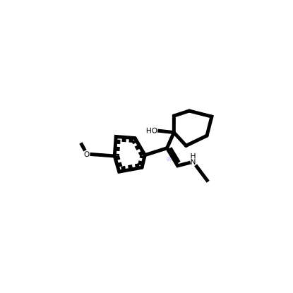 CN/C=C(/c1ccc(OC)cc1)C1(O)CCCCC1